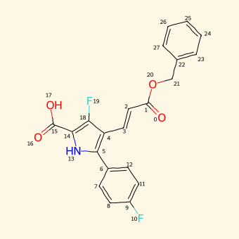 O=C(/C=C/c1c(-c2ccc(F)cc2)[nH]c(C(=O)O)c1F)OCc1ccccc1